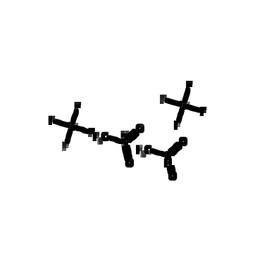 F[B-](F)(F)F.F[B-](F)(F)F.O=[SH](=O)C(F)(F)F.O=[SH](=O)C(F)(F)F